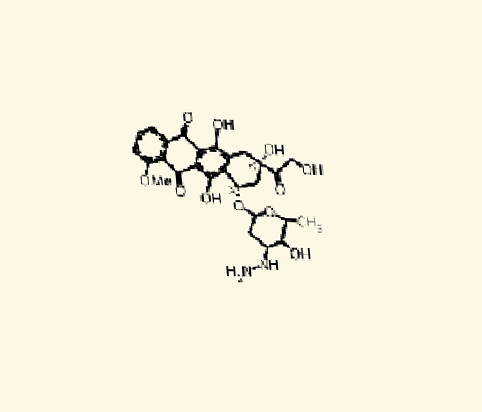 COc1cccc2c1C(=O)c1c(O)c3c(c(O)c1C2=O)C[C@@](O)(C(=O)CO)C[C@@H]3OC1CC(NN)C(O)C(C)O1